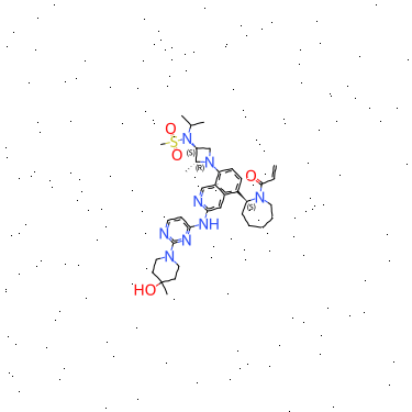 C=CC(=O)N1CCCCC[C@H]1c1ccc(N2C[C@H](N(C(C)C)S(C)(=O)=O)[C@H]2C)c2cnc(Nc3ccnc(N4CCC(C)(O)CC4)n3)cc12